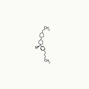 CCCCCc1ccc(C2(C#N)CCC(C3CCC(CCC)CC3)CC2)cc1